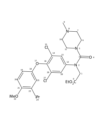 CCOC(=O)CN(C(=O)N1CCN(C)CC1)c1cc(Cl)c(Oc2ccc(OC)c(C(C)C)c2)c(Cl)c1